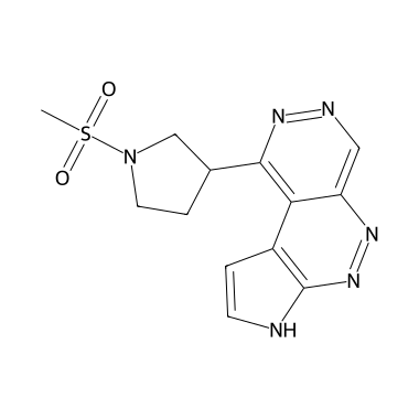 CS(=O)(=O)N1CCC(c2nncc3nnc4[nH]ccc4c23)C1